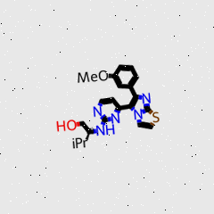 COc1cccc(-c2nc3sccn3c2-c2ccnc(N[C@H](CO)C(C)C)n2)c1